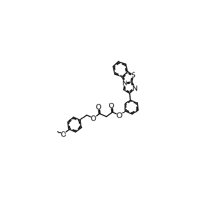 COc1ccc(COC(=O)CC(=O)Oc2cccc(-c3cn4c(n3)sc3ccccc34)c2)cc1